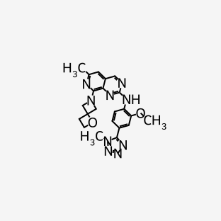 COc1cc(-c2nnnn2C)ccc1Nc1ncc2cc(C)nc(N3CC4(CCO4)C3)c2n1